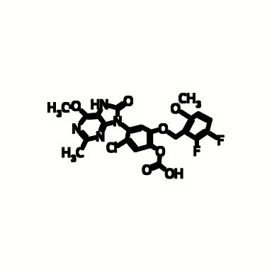 COc1ccc(F)c(F)c1COc1cc(-n2c(=O)[nH]c3c(OC)nc(C)nc32)c(Cl)cc1OC(=O)O